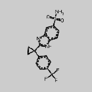 NS(=O)(=O)c1ccc2[nH]c(C3(c4ccc(C(F)(F)F)cc4)CC3)nc2c1